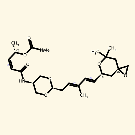 CNC(=O)O[C@@H](C)/C=C\C(=O)N[C@H]1CO[C@@H](C/C=C(C)/C=C/[C@@H]2C[C@]3(CO3)CC(C)(C)O2)OC1